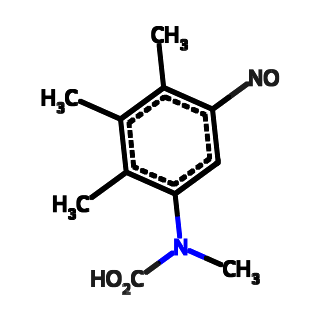 Cc1c(N=O)cc(N(C)C(=O)O)c(C)c1C